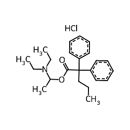 CCCC(C(=O)OC(C)N(CC)CC)(c1ccccc1)c1ccccc1.Cl